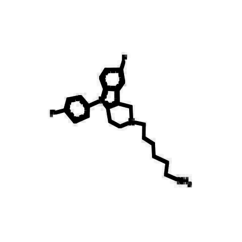 NCCCCCCN1CCc2c(c3cc(F)ccc3n2-c2ccc(F)cc2)C1